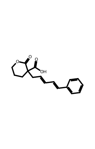 O=C(O)C1(C/C=C/C=C/c2ccccc2)CCCOC1=O